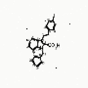 O=C(O)c1c(CCc2ccc(I)cc2)c2ccccc2n1Cc1ccccc1